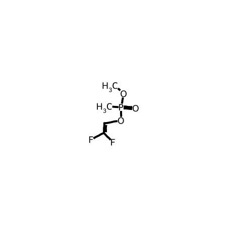 COP(C)(=O)OC=C(F)F